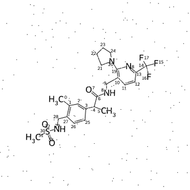 Cc1cc(C(C)C(=O)NCc2ccc(C(F)(F)F)nc2N2CCCC2)ccc1CNS(C)(=O)=O